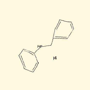 I.c1ccc(CPc2ccccc2)cc1